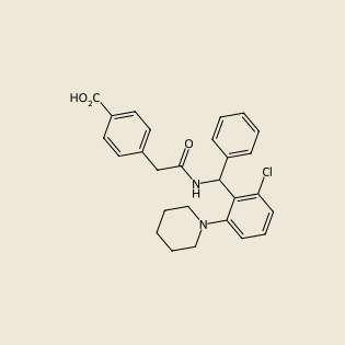 O=C(Cc1ccc(C(=O)O)cc1)NC(c1ccccc1)c1c(Cl)cccc1N1CCCCC1